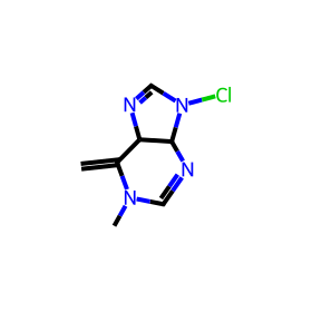 C=C1C2N=CN(Cl)C2N=CN1C